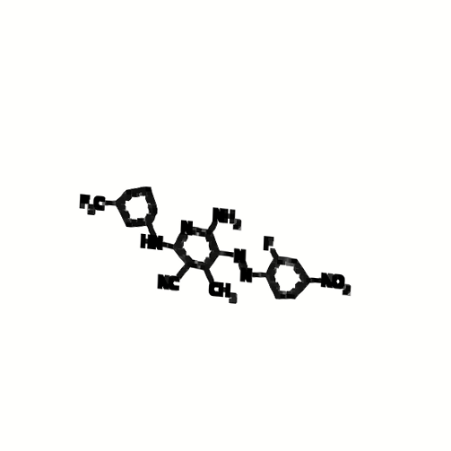 Cc1c(C#N)c(Nc2cccc(C(F)(F)F)c2)nc(N)c1N=Nc1ccc([N+](=O)[O-])cc1F